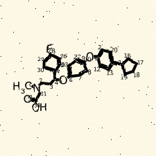 CN(CCC(Oc1ccc(Oc2ccc(C3CCCC3)cc2)cc1)c1ccc(F)cc1)CC(=O)O